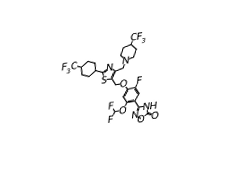 O=c1[nH]c(-c2cc(F)c(OCc3sc(C4CCC(C(F)(F)F)CC4)nc3CN3CCC(C(F)(F)F)CC3)cc2OC(F)F)no1